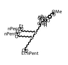 CCCCCC(CC)OC(=O)CCCCCCCCN(CCCCCCCCC(=O)OC(CC)CCCCC)CCCN(CCCCCCCCC(=O)OC(CC)CCCCC)CCCCCC(=O)Nc1nc(OCCCC)nc2c1[nH]c(=O)n2Cc1cccc(CC(=O)OC)c1